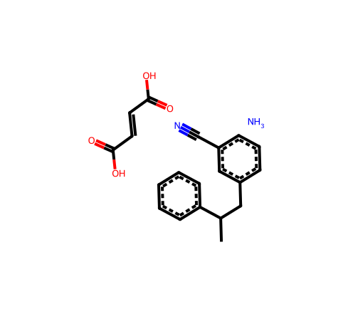 CC(Cc1cccc(C#N)c1)c1ccccc1.N.O=C(O)C=CC(=O)O